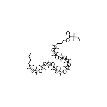 CCCC[Si](C)(C)O[Si](C)(C)O[Si](C)(C)O[Si](C)(C)O[Si](C)(C)O[Si](C)(C)O[Si](C)(C)O[Si](C)(C)O[Si](C)(C)O[Si](C)(C)O[Si](C)(C)CCCOC(=O)C(C)(C)CC